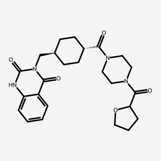 O=C(C1CCCO1)N1CCN(C(=O)[C@H]2CC[C@H](Cn3c(=O)[nH]c4ccccc4c3=O)CC2)CC1